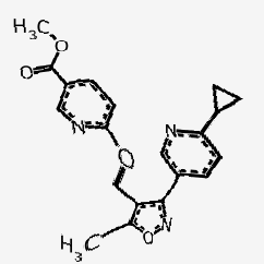 COC(=O)c1ccc(OCc2c(-c3ccc(C4CC4)nc3)noc2C)nc1